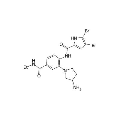 CCNC(=O)c1ccc(NC(=O)c2cc(Br)c(Br)[nH]2)c(N2CCC(N)C2)c1